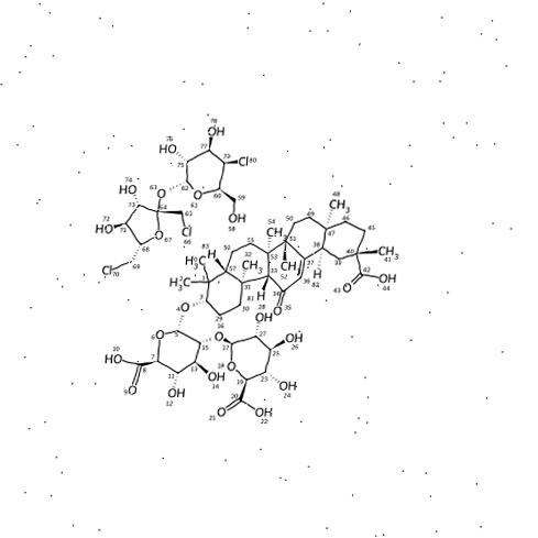 CC1(C)[C@@H](O[C@H]2O[C@H](C(=O)O)[C@@H](O)[C@H](O)[C@H]2O[C@@H]2O[C@H](C(=O)O)[C@@H](O)[C@H](O)[C@H]2O)CC[C@]2(C)[C@H]3C(=O)C=C4[C@@H]5C[C@@](C)(C(=O)O)CC[C@]5(C)CC[C@@]4(C)[C@]3(C)CC[C@@H]12.OC[C@H]1O[C@H](O[C@]2(CCl)O[C@H](CCl)[C@@H](O)[C@@H]2O)[C@H](O)[C@@H](O)[C@H]1Cl